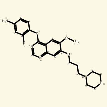 COc1cc2c(Oc3ccc(N)cc3F)ncnc2cc1OCCCN1CCOCC1